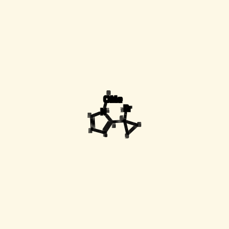 COn1cccc1C1(Br)CC1